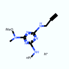 C#CCNc1nc(NCCC)nc(N(C)OC)n1.[H+]